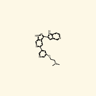 CN(C)CCOc1cncc(-c2cc3c(-c4cc5cnccc5[nH]4)n[nH]c3cn2)c1